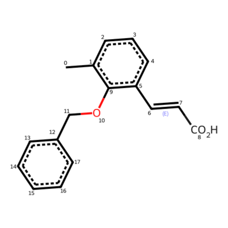 Cc1cccc(/C=C/C(=O)O)c1OCc1ccccc1